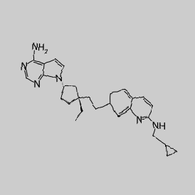 CC[C@@]1(CCC2C=c3nc(NCC4CC4)ccc3=CC2)CC[C@H](n2ccc3c(N)ncnc32)C1